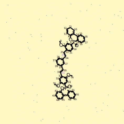 COc1cc(P2(=O)OC3=C(CCC=C3)c3ccccc32)ccc1/C=C/c1cccc(/C=C/c2cc(OC)c(P3(=O)Oc4ccccc4-c4ccccc43)cc2OC)c1